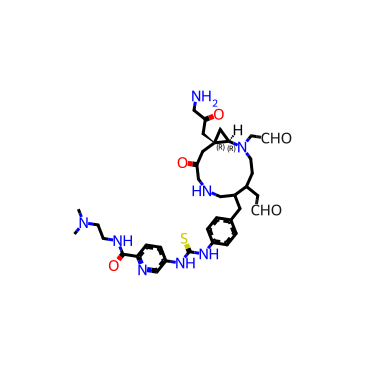 CN(C)CCNC(=O)c1ccc(NC(=S)Nc2ccc(CC3CNCC(=O)C[C@]4(CC(=O)CN)C[C@H]4N(CC=O)CCC3CC=O)cc2)cn1